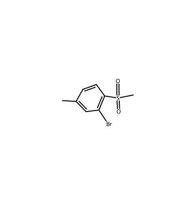 Cc1ccc(S(C)(=O)=O)c(Br)c1